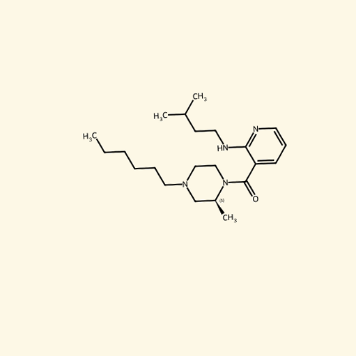 CCCCCCN1CCN(C(=O)c2cccnc2NCCC(C)C)[C@@H](C)C1